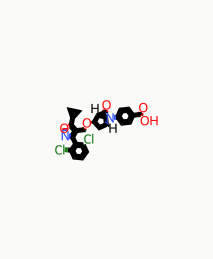 O=C(O)c1ccc(N2C(=O)[C@@H]3C[C@H]2C[C@H]3OCc2c(-c3c(Cl)cccc3Cl)noc2C2CC2)cc1